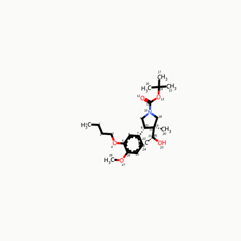 CCCCOc1cc([C@@H]2CN(C(=O)OC(C)(C)C)C[C@@]2(C)[C@@H](C)O)ccc1OC